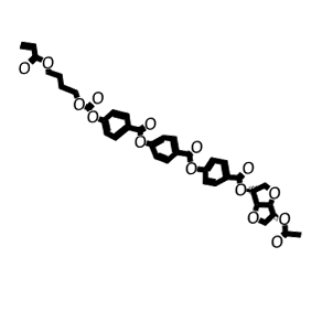 C=CC(=O)OCCCCOC(=O)Oc1ccc(C(=O)Oc2ccc(C(=O)Oc3ccc(C(=O)O[C@H]4COC5C4OC[C@H]5OC(C)=O)cc3)cc2)cc1